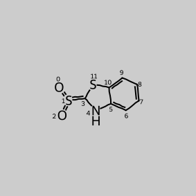 O=S(=O)=c1[nH]c2ccccc2s1